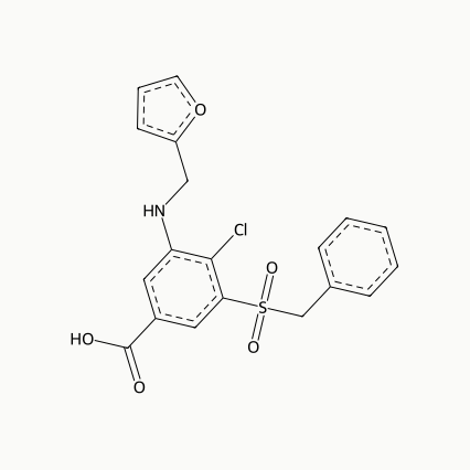 O=C(O)c1cc(NCc2ccco2)c(Cl)c(S(=O)(=O)Cc2ccccc2)c1